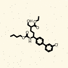 CCCCOC(=O)NC(CCC(CO)C(=O)OCC)c1ccc(-c2cccc(Cl)c2)cc1